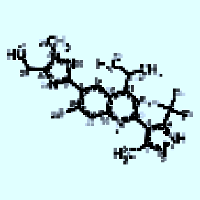 Cc1n[nH]c(C(F)(F)F)c1-c1cc(C(C)C)c2cc(-c3nc(CO)n(C)n3)c(F)cc2n1